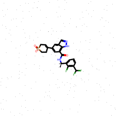 C[C@@H](NC(=O)c1cc(C2=CCS(=O)(=O)CC2)cc2cn[nH]c12)c1cccc(C(F)F)c1F